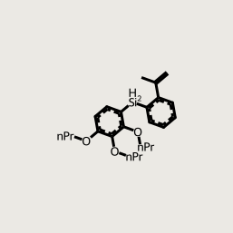 C=C(C)c1ccccc1[SiH2]c1ccc(OCCC)c(OCCC)c1OCCC